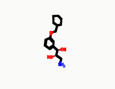 NC[C@H](O)[C@@H](O)c1cccc(OCC2CCCCC2)c1